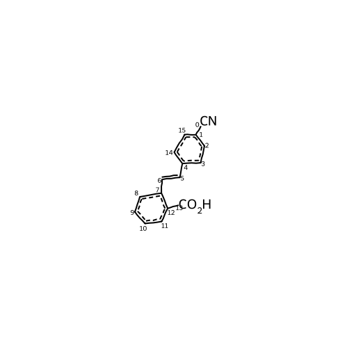 N#Cc1ccc(C=Cc2ccccc2C(=O)O)cc1